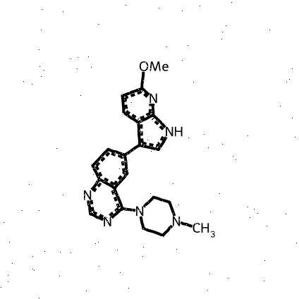 COc1ccc2c(-c3ccc4ncnc(N5CCN(C)CC5)c4c3)c[nH]c2n1